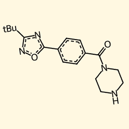 CC(C)(C)c1noc(-c2ccc(C(=O)N3CCNCC3)cc2)n1